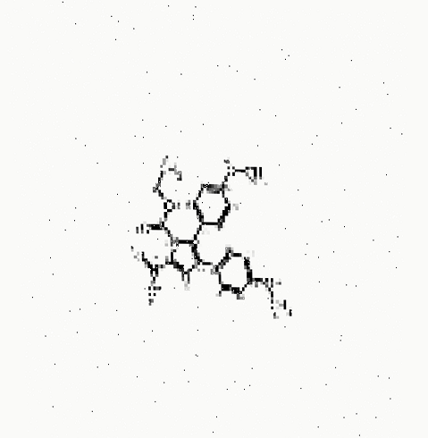 CCOC(=O)n1c([N+](=O)[O-])nc(-c2ccc(OC)cc2)c1-c1ccc(OC)cc1